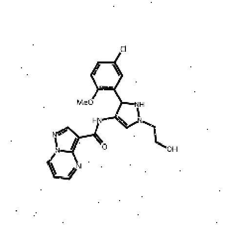 COc1ccc(Cl)cc1C1NN(CCO)C=C1NC(=O)c1cnn2cccnc12